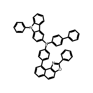 c1ccc(-c2ccc(N(c3ccc(-c4cccc5ccc6oc(-c7ccccc7)nc6c45)cc3)c3ccc4c(c3)c3ccccc3n4-c3ccccc3)cc2)cc1